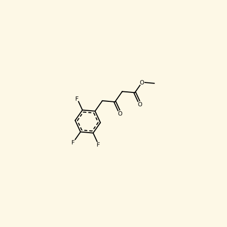 COC(=O)CC(=O)Cc1cc(F)c(F)cc1F